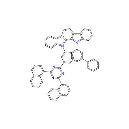 c1ccc(-c2cccc(-n3c4ccccc4c4ccc5c6ccccc6n(-c6cccc(-c7nc(-c8cccc9ccccc89)nc(-c8cccc9ccccc89)n7)c6)c5c43)c2)cc1